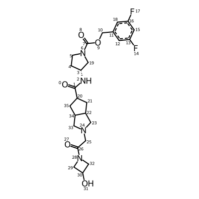 O=C(N[C@@H]1CCN(C(=O)OCc2cc(F)cc(F)c2)C1)C1CC2CN(CC(=O)N3CC(O)C3)CC2C1